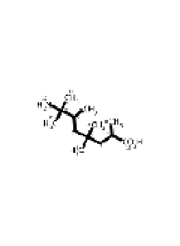 CC(CC(C)(C)CC(C)C(C)(C)N)C(=O)O